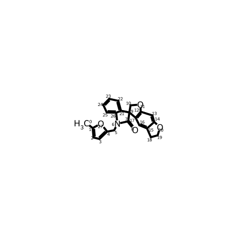 Cc1ccc(CN2C(=O)C3(COc4cc5c(cc43)CCO5)c3ccccc32)o1